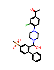 CC(=O)c1ccc(N2CCN(C(O)c3cc(S(C)(=O)=O)ccc3-c3ccccc3)CC2)c(F)c1